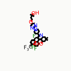 CC(C)(O)CCOc1cnc(N2CCC(c3nc4c(c(C5CCC(F)(F)CC5)c3C(F)c3ccc(C(F)(F)F)cc3)C(O)CC(C)(C)C4)CC2)nc1